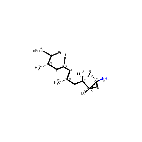 CCCCCC(CC)[C@@H](C)C[C@@H](CC)C[C@@H](C)C[C@@H](C)[C@@]1(CC)C[C@]1(C)N